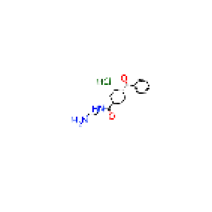 Cl.NCCNC(=O)[C@H]1CC[C@H](C(=O)c2ccccc2)CC1